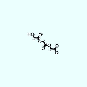 [O]C(=O)COC(=O)COC(=O)CO